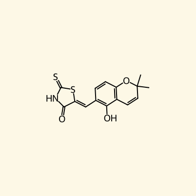 CC1(C)C=Cc2c(ccc(/C=C3\SC(=S)NC3=O)c2O)O1